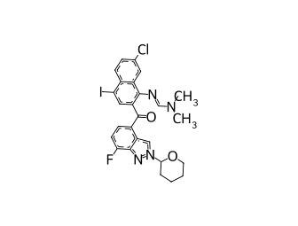 CN(C)/C=N/c1c(C(=O)c2ccc(F)c3nn(C4CCCCO4)cc23)cc(I)c2ccc(Cl)cc12